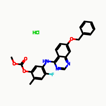 COC(=O)Oc1cc(Nc2ncnc3cc(OCc4ccccc4)ccc23)c(F)cc1C.Cl